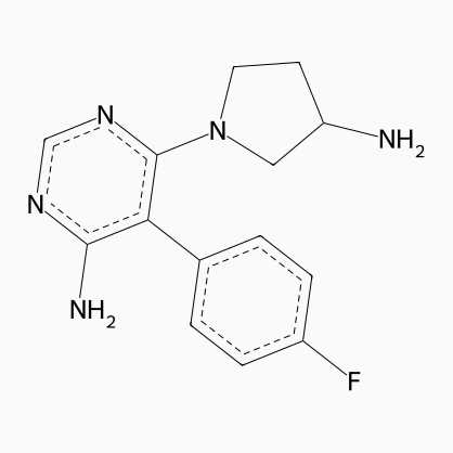 Nc1ncnc(N2CCC(N)C2)c1-c1ccc(F)cc1